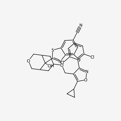 N#Cc1cc(F)c2nc(C3(O)C4COCC3CC(OCc3c(-c5c(Cl)cccc5Cl)noc3C3CC3)C4)sc2c1